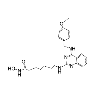 COc1ccc(CNc2nc(NCCCCCCC(=O)NO)nc3ccccc23)cc1